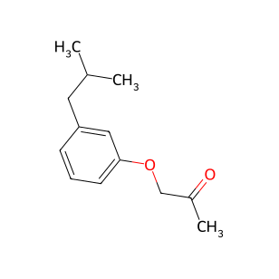 CC(=O)COc1cccc(CC(C)C)c1